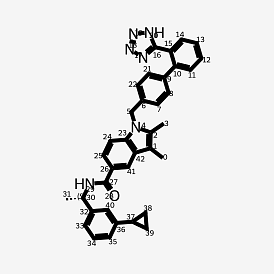 Cc1c(C)n(Cc2ccc(-c3ccccc3-c3nnn[nH]3)cc2)c2ccc(C(=O)N[C@@H](C)c3cccc(C4CC4)c3)cc12